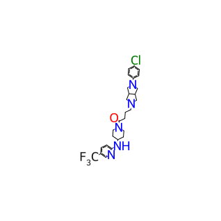 O=C(CCCN1CC2CN(c3ccc(Cl)cc3)CC2C1)N1CCC(Nc2ccc(C(F)(F)F)cn2)CC1